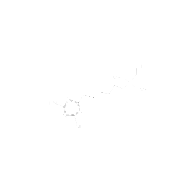 CO[Si](CO)(CCCSCCc1nc(N)nc(N)n1)OC